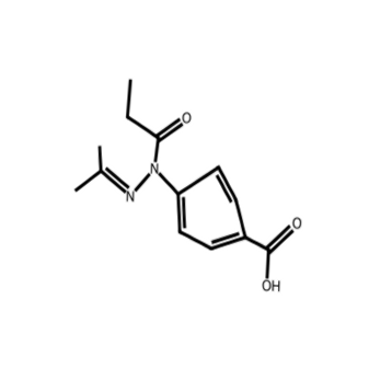 CCC(=O)N(N=C(C)C)c1ccc(C(=O)O)cc1